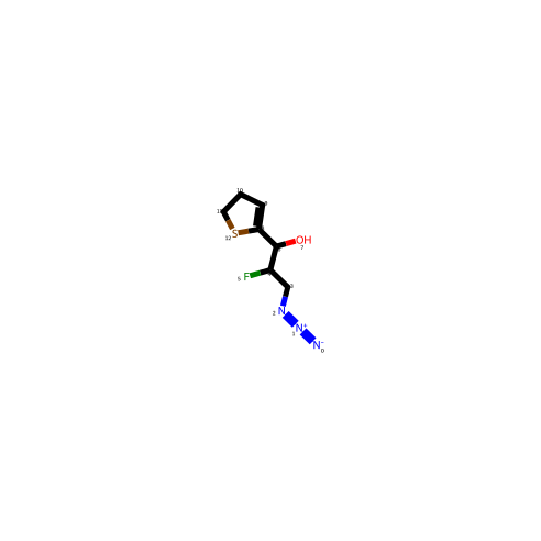 [N-]=[N+]=NCC(F)C(O)C1=CCCS1